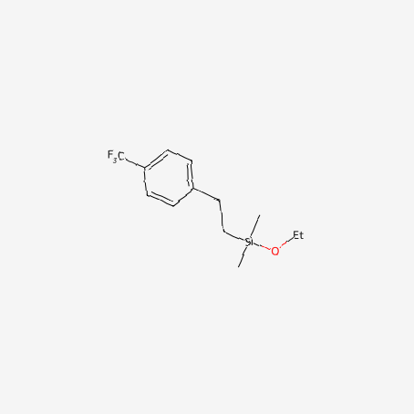 CCO[Si](C)(C)CCc1ccc(C(F)(F)F)cc1